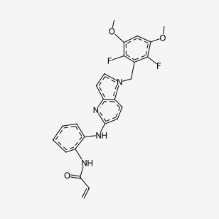 C=CC(=O)Nc1ccccc1Nc1ccc2c(ccn2Cc2c(F)c(OC)cc(OC)c2F)n1